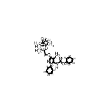 Cc1c(OC[C@H](C)O[Si](C)(C)C(C)(C)C)nn(-c2ccccc2)c1NC(=O)Oc1ccccc1